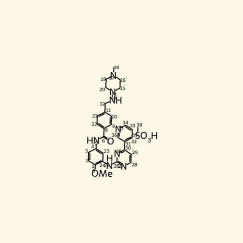 COc1ccc(NC(=O)c2ccc(CNN3CCN(C)CC3)cc2)cc1Nc1nccc(-c2cccnc2)n1.CS(=O)(=O)O